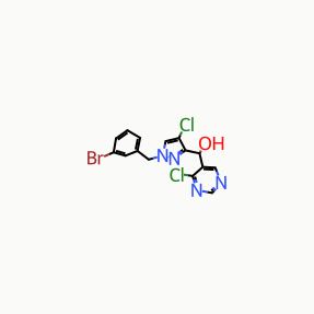 OC(c1cncnc1Cl)c1nn(Cc2cccc(Br)c2)cc1Cl